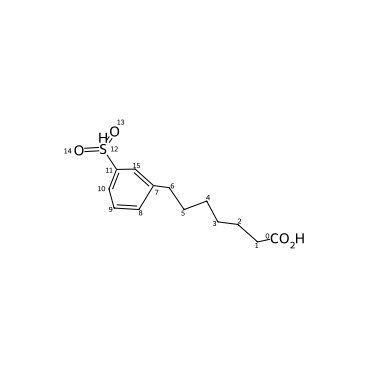 O=C(O)CCCCCCc1cccc([SH](=O)=O)c1